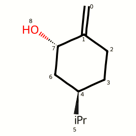 C=C1CC[C@@H](C(C)C)C[C@@H]1O